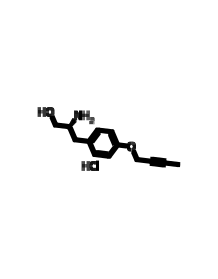 CC#CCOc1ccc(C[C@H](N)CO)cc1.Cl